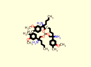 CCCCC(N)(COB(OCC(N)(CCCC)c1ccc(C)c(OC)c1)OCC(N)(CCCC)c1ccc(C)c(OC)c1)c1ccc(C)c(OC)c1